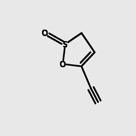 C#CC1=CCS(=O)O1